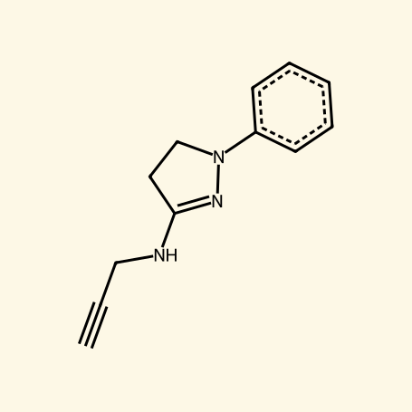 C#CCNC1=NN(c2ccccc2)CC1